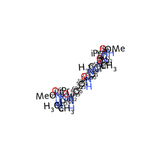 COC(=O)N[C@H](C(=O)N1C[C@@H](N(C)C)C[C@H]1c1nc(-c2ccc(-c3ccc(C(=O)Nc4ccc(N5CCN(C(=O)[C@]6(C)CCCN6C(=O)[C@@H](NC(=O)OC)C(C)C)C[C@H]5C)nc4)cc3)cc2)c[nH]1)C(C)C